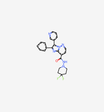 O=C(NN1CCC(F)(F)CC1)c1ccnn2c(-c3cccnc3)c(-c3ccccc3)nc12